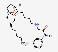 CCN(C(=O)CNCCCC[C@H]1[C@@H](C/C=C\CCCC(=O)O)[C@H]2CC[C@@H]1O2)c1ccccc1